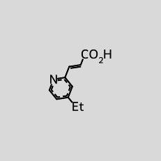 CCc1ccnc(C=CC(=O)O)c1